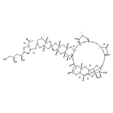 C=C1C[C@@H]2CC[C@]34OC5[C@@H]6O[C@H]7CC[C@H](CC(=O)O[C@@H]8[C@@H](C)[C@@H]9O[C@@H]%10C[C@]%11(C[C@@H]%12O[C@]%13(C[C@H](C)[C@@H]%14O[C@H]([C@@H](O)C[C@@H](O)CO)C[C@@H]%14O%13)C[C@H](C)[C@@H]%12O%11)O[C@@H]%10C[C@@H]9O[C@H]8C[C@H]8O[C@@H](CC[C@@H]1O2)C[C@@H](C)C8=C)O[C@@H]7[C@H](O3)[C@@H]6O[C@@]5(O)[C@H]4O